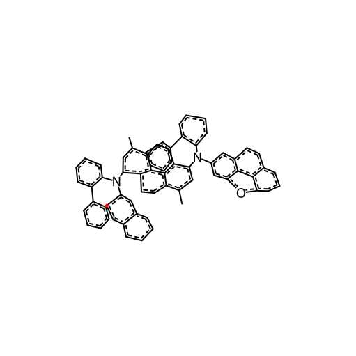 Cc1cc(N(c2ccc3ccccc3c2)c2ccccc2-c2ccccc2)c2ccc3c(C)cc(N(c4cc5ccc6cccc7oc(c4)c5c67)c4ccccc4-c4ccccc4)c4ccc1c2c34